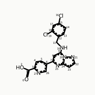 O=C(O)c1ccc(-c2cc(NCc3ccc(Cl)cc3Cl)n3nccc3n2)cn1